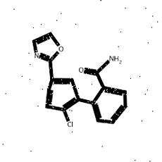 NC(=O)c1c[c]ccc1-c1cc(-c2ncco2)ccc1Cl